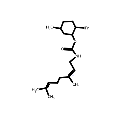 CC(C)=CCC/C(C)=C\CNC(=O)OC1CC(C)CCC1C(C)C